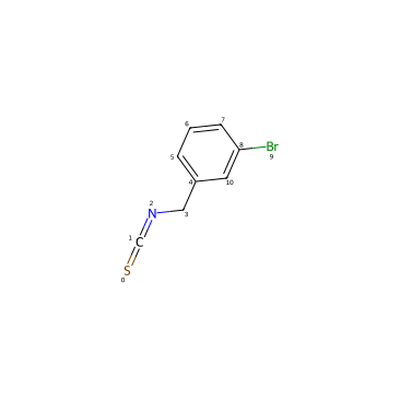 S=C=NCc1cccc(Br)c1